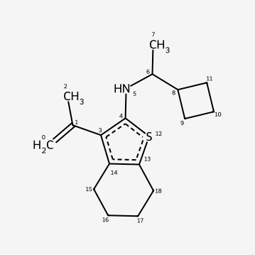 C=C(C)c1c(NC(C)C2CCC2)sc2c1CCCC2